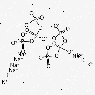 O=P([O-])([O-])OP(=O)([O-])OP(=O)([O-])[O-].O=P([O-])([O-])OP(=O)([O-])OP(=O)([O-])[O-].[K+].[K+].[K+].[K+].[K+].[Na+].[Na+].[Na+].[Na+].[Na+]